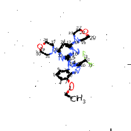 CCOc1cccc2c1nc(C(F)F)n2-c1nc(N2CCOCC2)cc(N2CCOCC2)n1